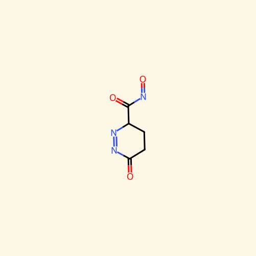 O=NC(=O)C1CCC(=O)N=N1